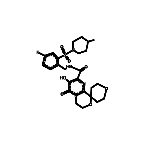 CN1CCN(S(=O)(=O)c2cc(F)ccc2CNC(=O)c2nc3n(c(=O)c2O)CCOC32CCOCC2)CC1